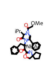 COCC(=O)N1C=C(c2ccccc2)N([C@](Cc2ccccc2)(NC(C)=O)C(=O)C2=NC3(CCCC3)CO2)C(=O)C1C(C)C